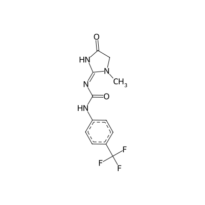 CN1CC(=O)NC1=NC(=O)Nc1ccc(C(F)(F)F)cc1